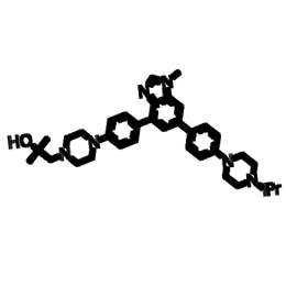 CC(C)N1CCN(c2ccc(-c3cc(-c4ccc(N5CCN(CC(C)(C)O)CC5)cc4)c4ncn(C)c4c3)cc2)CC1